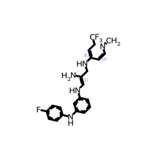 C=N/C=C\C(=C/CC(F)(F)F)NC/C(N)=C/Nc1cccc(Nc2ccc(F)cc2)c1